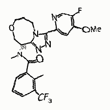 COc1cc(-c2nnc3n2CCCOC[C@H]3N(C)C(=O)c2cccc(C(F)(F)F)c2C)ncc1F